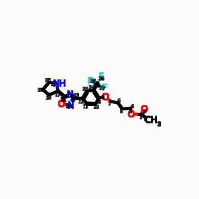 CC(=O)OCCCCOc1ccc(-c2noc(C3CCCN3)n2)cc1C(F)(F)F